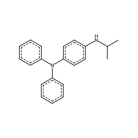 CC(C)Nc1ccc(N(c2ccccc2)c2ccccc2)cc1